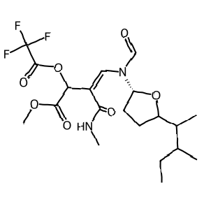 CCC(C)C(C)C1CC[C@H](N(C=O)/C=C(\C(=O)NC)C(OC(=O)C(F)(F)F)C(=O)OC)O1